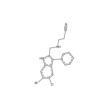 N#CCCNCc1[nH]c2cc(Br)c(Cl)cc2c1-c1ccccc1